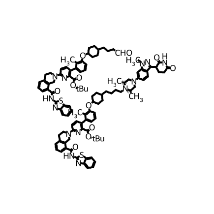 Cc1c(OC2CCC(CCCC=O)CC2)cccc1-c1ccc(N2CCc3cccc(C(=O)Nc4nc5ccccc5s4)c3C2)nc1C(=O)OC(C)(C)C.Cc1c(OC2CCC(CCCCN3[C@H](C)CN(c4ccc5c(C6CCC(=O)NC6=O)nn(C)c5c4)C[C@@H]3C)CC2)cccc1-c1ccc(N2CCc3cccc(C(=O)Nc4nc5ccccc5s4)c3C2)nc1C(=O)OC(C)(C)C